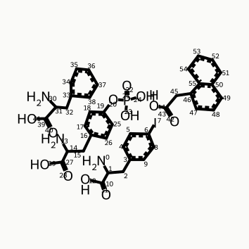 NC(Cc1ccc(I)cc1)C(=O)O.NC(Cc1ccc(OP(=O)(O)O)cc1)C(=O)O.NC(Cc1ccccc1)C(=O)O.O=C(O)Cc1cccc2ccccc12